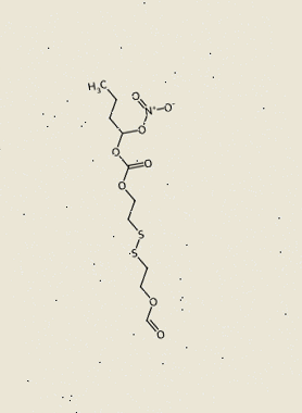 CCCC(OC(=O)OCCSSCCOC=O)O[N+](=O)[O-]